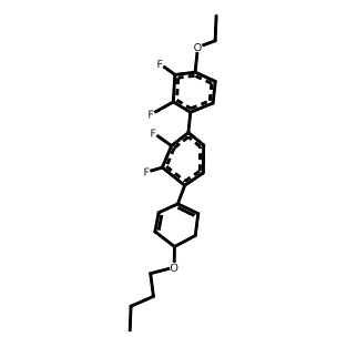 CCCCOC1C=CC(c2ccc(-c3ccc(OCC)c(F)c3F)c(F)c2F)=CC1